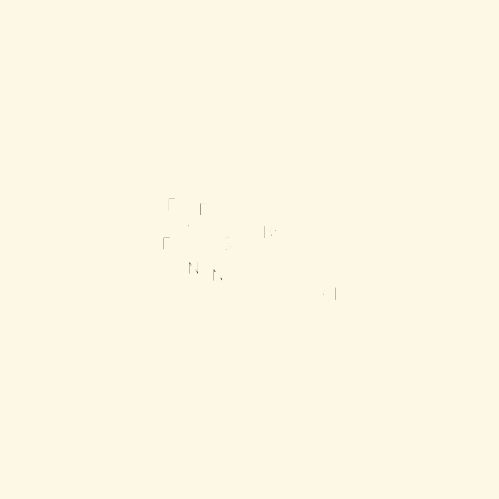 FC(F)(F)c1nnc(-c2ccc(Cl)cc2Br)s1